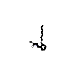 CCCCCCCOc1ccccc1/C=C/C(=O)O